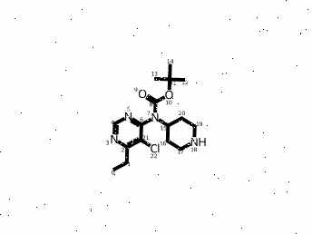 CCc1ncnc(N(C(=O)OC(C)(C)C)C2CCNCC2)c1Cl